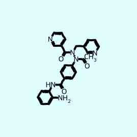 CC(=O)N(c1ccc(C(=O)Nc2ccccc2N)cc1)N(Cc1cccnc1)C(=O)c1cccnc1